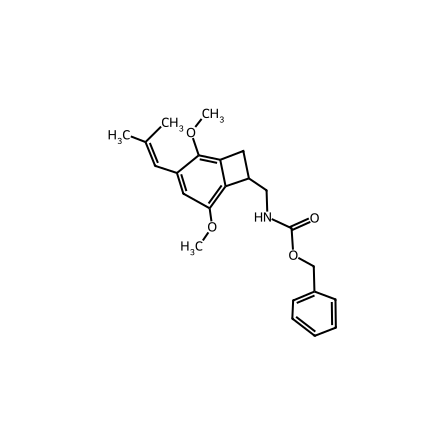 COc1cc(C=C(C)C)c(OC)c2c1C(CNC(=O)OCc1ccccc1)C2